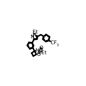 CCn1nc(-c2cccc(C3(NS(=O)(=O)CC)CCC3)c2)cc1Cc1ccc(C(F)(F)F)cc1